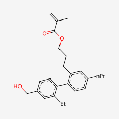 C=C(C)C(=O)OCCCc1cc(CCC)ccc1-c1ccc(CO)cc1CC